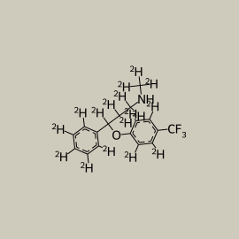 [2H]c1c([2H])c([2H])c(C([2H])(Oc2c([2H])c([2H])c(C(F)(F)F)c([2H])c2[2H])C([2H])([2H])C([2H])([2H])NC([2H])([2H])[2H])c([2H])c1[2H]